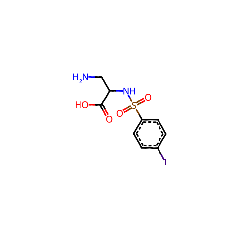 NCC(NS(=O)(=O)c1ccc(I)cc1)C(=O)O